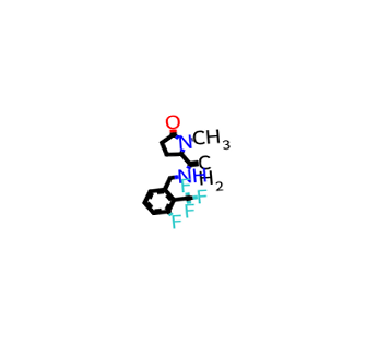 C=C(NCc1cccc(F)c1C(F)(F)F)C1CCC(=O)N1C